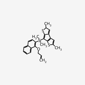 C=CCOc1c([Si](C)(C)C2=C3SC(C)C=C3c3cc(C)sc32)ccc2ccccc12